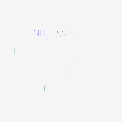 COc1ccccc1C(C)(C)Sc1cc(N)c(Cl)cc1F